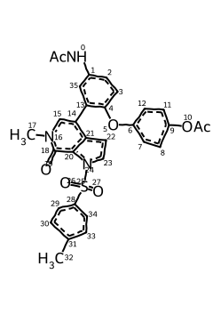 CC(=O)Nc1ccc(Oc2ccc(OC(C)=O)cc2)c(-c2cn(C)c(=O)c3c2ccn3S(=O)(=O)c2ccc(C)cc2)c1